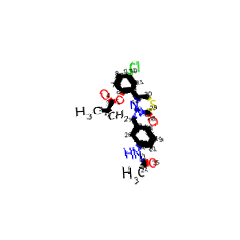 C=C(C)C(=O)Oc1ccc(Cl)cc1C1=NN(Cc2cccc(NC(C)=O)c2)C(=O)SC1